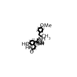 COc1ccc(CC(C)NCC(O)c2ccc(O)c3[nH]c(=O)ccc23)cc1.Cl.Cl